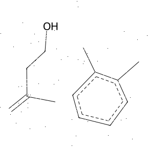 C=C(C)CCO.Cc1ccccc1C